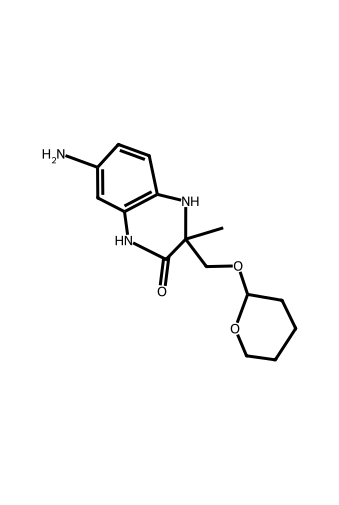 CC1(COC2CCCCO2)Nc2ccc(N)cc2NC1=O